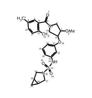 COC1CN(C(=O)c2cc(C)ccc2C)CC1Oc1cccc(NS(=O)(=O)N2CC3CC3C2)c1